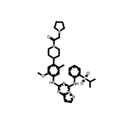 COc1cc(C2CCN(C(=O)CN3CCCC3)CC2)c(C)cc1Nc1nc(Nc2ccccc2S(=O)(=O)C(C)C)n2nccc2n1